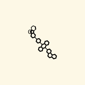 C1=Cc2c(oc3ccc(-c4ccc(-c5c6ccccc6c(-c6ccc7c(ccc8ccccc87)c6)c6ccccc56)cc4)cc23)CC1